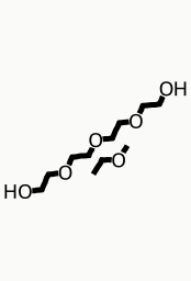 CCOC.OCCOCCOCCOCCO